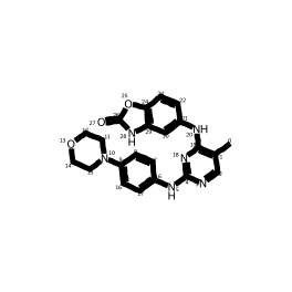 Cc1cnc(Nc2ccc(N3CCOCC3)cc2)nc1Nc1ccc2oc(=O)[nH]c2c1